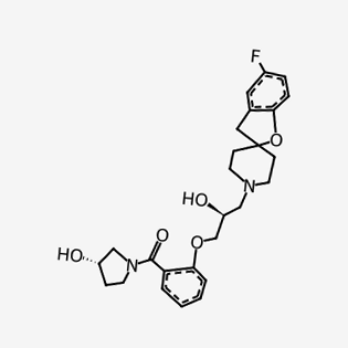 O=C(c1ccccc1OC[C@@H](O)CN1CCC2(CC1)Cc1cc(F)ccc1O2)N1CC[C@H](O)C1